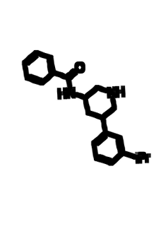 CC(C)c1cccc(C2CNCC(NC(=O)c3ccccc3)C2)c1